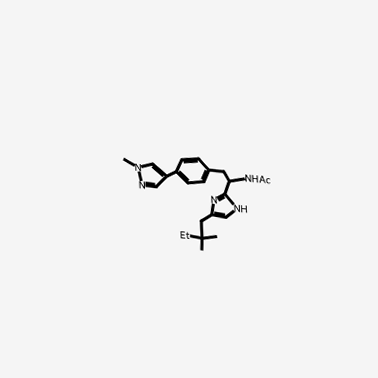 CCC(C)(C)Cc1c[nH]c(C(Cc2ccc(-c3cnn(C)c3)cc2)NC(C)=O)n1